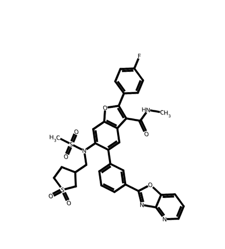 CNC(=O)c1c(-c2ccc(F)cc2)oc2cc(N(CC3CCS(=O)(=O)C3)S(C)(=O)=O)c(-c3cccc(-c4nc5ncccc5o4)c3)cc12